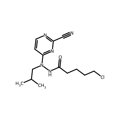 CC(C)CN(NC(=O)CCCCCl)c1ccnc(C#N)n1